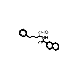 O=[C][C@@H](CCCc1ccccc1)NC(=O)c1ccc2ccccc2c1